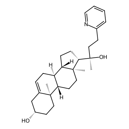 C[C@]12CC[C@H]3[C@@H](CC=C4C[C@@H](O)CC[C@@]43C)[C@@H]1CC[C@@H]2[C@](C)(O)CCc1ccccn1